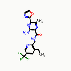 CCc1cc(C(F)(F)F)cnc1CNC(=O)c1nc(C)c(-c2ncco2)nc1N